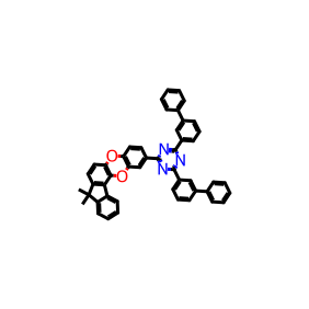 CC1(C)c2ccccc2-c2c1ccc1c2Oc2cc(-c3nc(-c4cccc(-c5ccccc5)c4)nc(-c4cccc(-c5ccccc5)c4)n3)ccc2O1